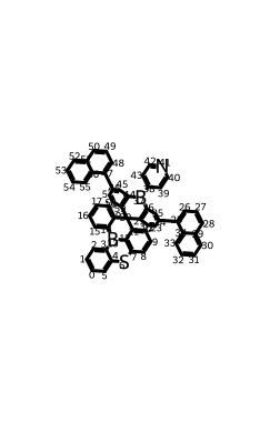 c1ccc2c(c1)Sc1cccc3c1B2c1ccccc1C31c2ccc(-c3cccc4ccccc34)cc2B(c2ccncc2)c2cc(-c3cccc4ccccc34)ccc21